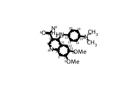 COc1cc2ncc(C(N)=O)c(Nc3ccc(N(C)C)cc3)c2cc1OC